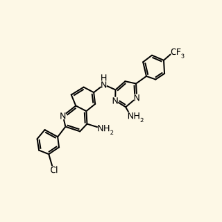 Nc1nc(Nc2ccc3nc(-c4cccc(Cl)c4)cc(N)c3c2)cc(-c2ccc(C(F)(F)F)cc2)n1